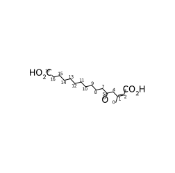 CC(=CC(=O)O)CC(=O)CCCCCCCCCCC(=O)O